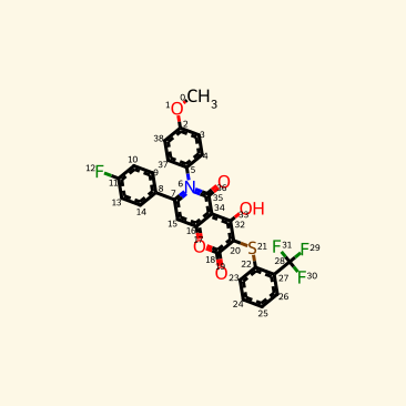 COc1ccc(-n2c(-c3ccc(F)cc3)cc3oc(=O)c(Sc4ccccc4C(F)(F)F)c(O)c3c2=O)cc1